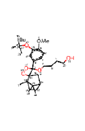 COc1ccc(C2(OCCCCO)OOC23CC2CCC3(C)C2(C)C)cc1O[Si](C)(C)C(C)(C)C